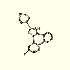 Ic1ccc2c3ccccc3c3[nH]c(-c4ccccc4)nc3c2c1